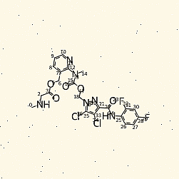 CNCC(=O)OCc1cccnc1N(C)C(=O)OCn1nc(C(=O)Nc2ccc(F)cc2F)c(Cl)c1Cl